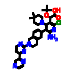 CC1(C)CCN(c2c(-c3ccc4c(c3)CCN(c3nccc(-c5cnccn5)n3)C4)c(N)nc(Cl)c2[C@H](OC(C)(C)C)C(=O)O)CC1